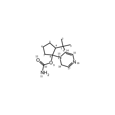 CC(C)(C)C1CCCC1(OC(N)=O)N1C=CN=CC1